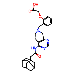 O=C(O)COc1ccccc1CN1CCc2c(ncnc2NC(=O)CC23CC4CC(CC(C4)C2)C3)C1